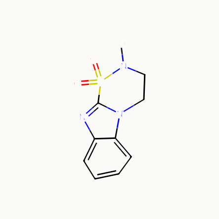 CCN1CCn2c(nc3ccccc32)S1(=O)=O